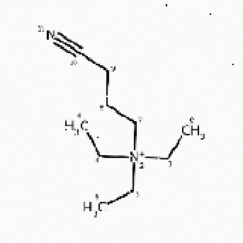 CC[N+](CC)(CC)CCCC#N